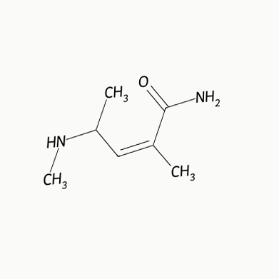 CNC(C)C=C(C)C(N)=O